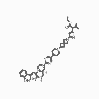 CCOC(=O)C(c1cc(N2CC3(CC(N4CCC(c5cnc(N6CCN7c8cc(-c9ccccc9O)nnc8NC[C@@H]7C6)nc5)CC4)C3)C2)no1)C(C)C